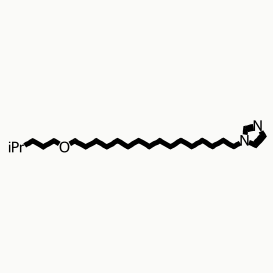 CC(C)CCCOCCCCCCCCCCCCCCCCn1ccnc1